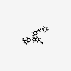 O=C1OCc2cc(-c3sc4cc(CO)ccc4c3Oc3ccc(OCCN4CCCCC4)cc3)ccc21